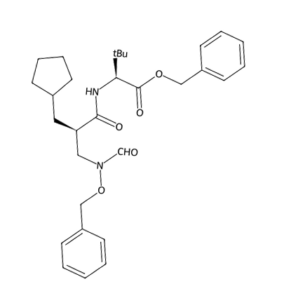 CC(C)(C)[C@H](NC(=O)[C@H](CC1CCCC1)CN(C=O)OCc1ccccc1)C(=O)OCc1ccccc1